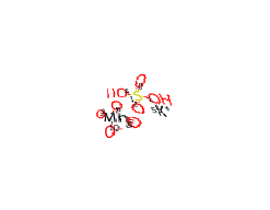 O=S(=O)(O)O.[K+].[O]=[Mn](=[O])(=[O])[O-]